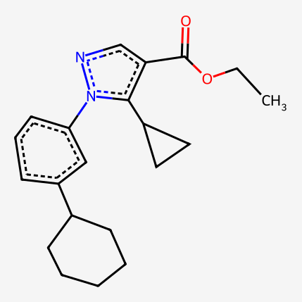 CCOC(=O)c1cnn(-c2cccc(C3CCCCC3)c2)c1C1CC1